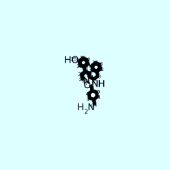 NCC1CCC(C(=O)NC(Cc2ccccc2)c2cc(-c3cccc(O)c3)ccn2)CC1